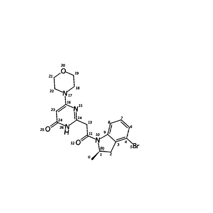 C[C@@H]1Cc2c(Br)cccc2N1C(=O)Cc1nc(N2CCOCC2)cc(=O)[nH]1